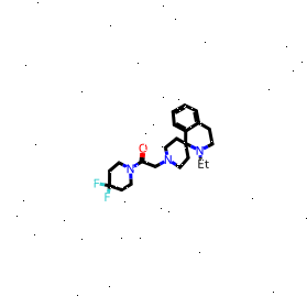 CCN1CCc2ccccc2C12CCN(CC(=O)N1CCC(F)(F)CC1)CC2